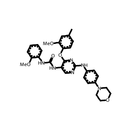 COc1ccccc1NC(=O)Nc1cnc(Nc2ccc(N3CCOCC3)cc2)nc1Oc1ccc(C)cc1OC